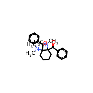 CN(C)C1(C(=O)c2ccccc2)CCCCC1(C(=O)c1ccccc1)N(C)C